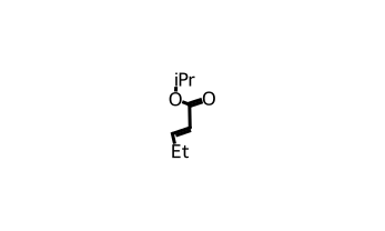 CCC=CC(=O)OC(C)C